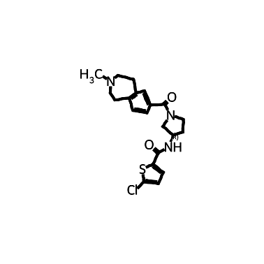 CN1CCc2ccc(C(=O)N3CC[C@@H](NC(=O)c4ccc(Cl)s4)C3)cc2CC1